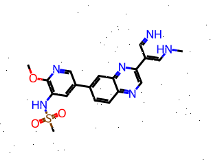 CN/C=C(\C=N)c1cnc2ccc(-c3cnc(OC)c(NS(C)(=O)=O)c3)cc2n1